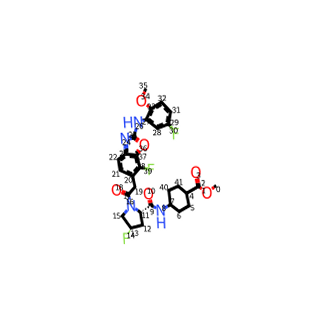 COC(=O)C1CCC(NC(=O)[C@@H]2C[C@H](F)CN2C(=O)Cc2ccc3nc(Nc4cc(F)ccc4OC)oc3c2F)CC1